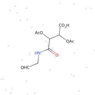 CC(=O)OC(C(=O)O)C(OC(C)=O)C(=O)NCC=O